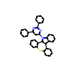 c1ccc(-c2cc(-n3c4c(c5ccccc53)-c3ccccc3Sc3ccccc3-4)nc(-c3ccccc3)n2)cc1